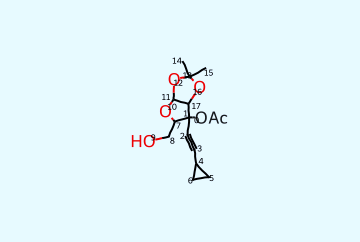 CC(=O)OC1(C#CC2CC2)C(CO)OC2OC(C)(C)OC21